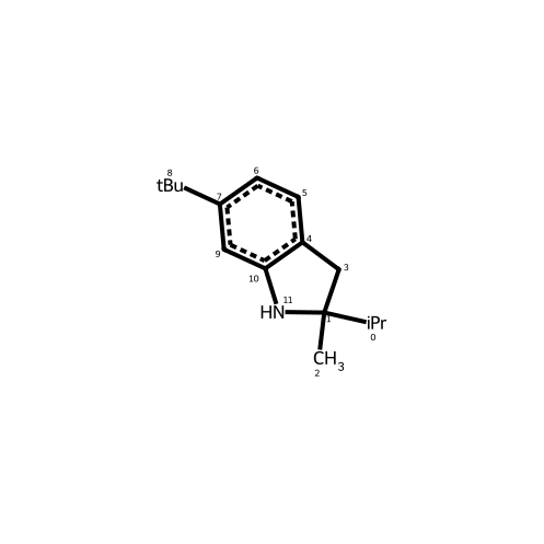 CC(C)C1(C)Cc2ccc(C(C)(C)C)cc2N1